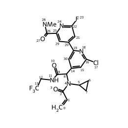 C=CC(=O)N(C1CC1)C(C(=O)NCC(F)(F)F)c1cc(Cl)nc(-c2cc(F)nc(C(=O)NC)c2)c1